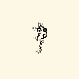 CCCCOc1nc(N)c2[nH]c(=O)n(Cc3ccc(CN4CCC(CCNC(=O)C=COCCON)CC4)cc3)c2n1